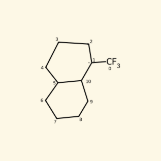 FC(F)(F)[C]1CCCC2CCCCC12